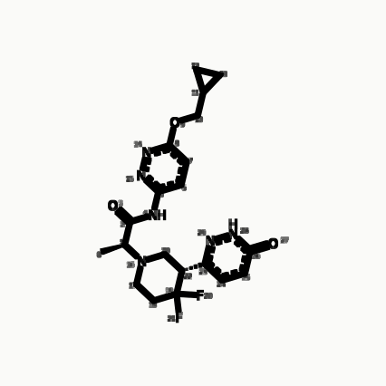 C[C@@H](C(=O)Nc1ccc(OCC2CC2)nn1)N1CCC(F)(F)[C@@H](c2ccc(=O)[nH]n2)C1